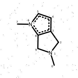 CN1Cc2ccn(C)c2C1